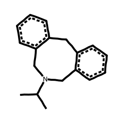 CC(C)N1Cc2ccccc2Cc2ccccc2C1